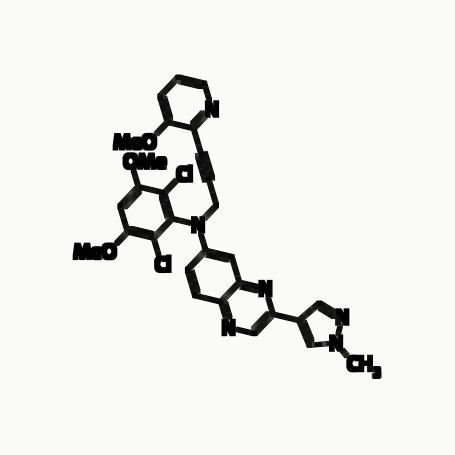 COc1cccnc1C#CCN(c1ccc2ncc(-c3cnn(C)c3)nc2c1)c1c(Cl)c(OC)cc(OC)c1Cl